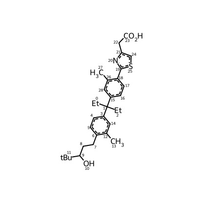 CCC(CC)(c1ccc(CCC(O)C(C)(C)C)c(C)c1)c1ccc(-c2nc(CC(=O)O)cs2)c(C)c1